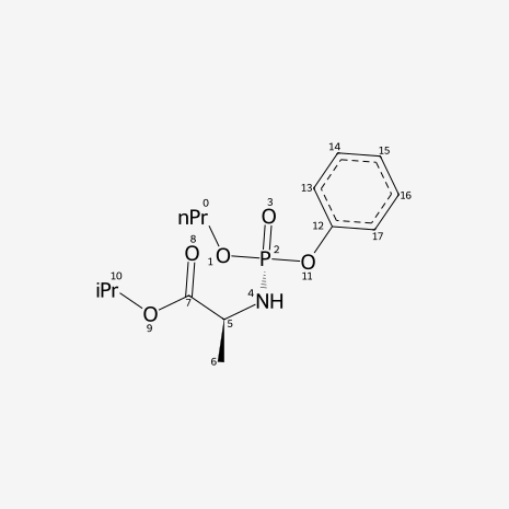 CCCO[P@](=O)(N[C@@H](C)C(=O)OC(C)C)Oc1ccccc1